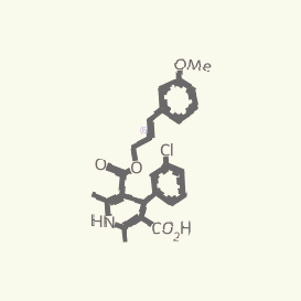 COc1cccc(/C=C/COC(=O)C2=C(C)NC(C)=C(C(=O)O)C2c2cccc(Cl)c2)c1